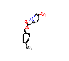 O=C(OCc1ccc([N+](=O)[O-])cc1)C1CCC(O)CN1